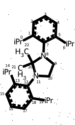 CC(C)c1cccc(C(C)C)c1N1CCN(c2c(C(C)C)cccc2C(C)C)C1(C)C